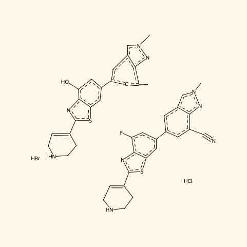 Br.Cc1cc(-c2cc(O)c3nc(C4=CCNCC4)sc3c2)cc2cn(C)nc12.Cl.Cn1cc2cc(-c3cc(F)c4nc(C5=CCNCC5)sc4c3)cc(C#N)c2n1